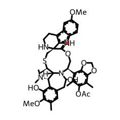 COc1ccc2[nH]c3c(c2c1)CCN[C@]31CS[C@H](C)[C@H]2[C@@H](N(C)C)c3c(cc(C)c(OC)c3O)C[C@H](O)N2[C@H](c2c(C)c(OC(C)=O)c(C)c3c2OCO3)COC1=O